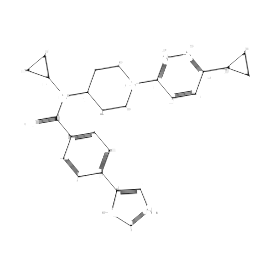 O=C(c1ccc(-c2cnco2)cc1)N(C1CC1)C1CCN(c2ccc(C3CC3)nn2)CC1